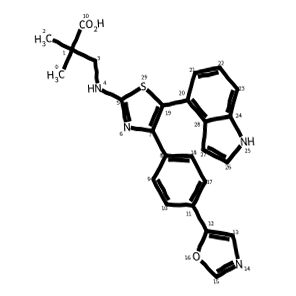 CC(C)(CNc1nc(-c2ccc(-c3cnco3)cc2)c(-c2cccc3[nH]ccc23)s1)C(=O)O